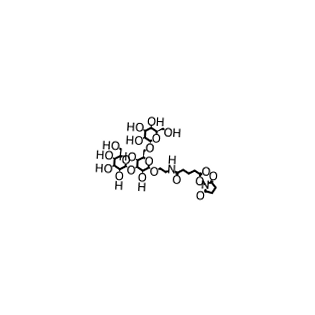 O=C(CCCC(=O)ON1C(=O)CCC1=O)NCCO[C@H]1O[C@H](CO[C@H]2O[C@H](CO)[C@@H](O)[C@H](O)[C@@H]2O)[C@@H](O)[C@H](O[C@H]2O[C@H](CO)[C@@H](O)[C@H](O)[C@@H]2O)[C@@H]1O